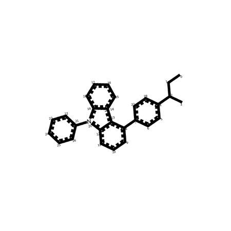 CCC(C)c1ccc(-c2cccc3c2c2ccccc2n3-c2ccccc2)cc1